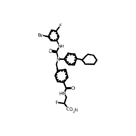 O=C(NCC(F)C(=O)O)c1ccc(CN(C(=O)Nc2cc(F)cc(Br)c2)c2ccc(C3CCCCC3)cc2)cc1